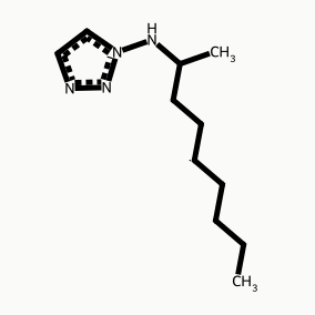 CCCC[CH]CCC(C)Nn1ccnn1